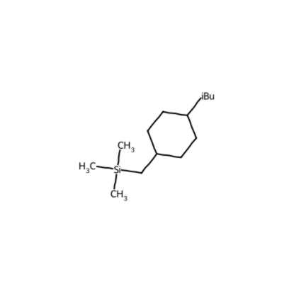 CCC(C)C1CCC(C[Si](C)(C)C)CC1